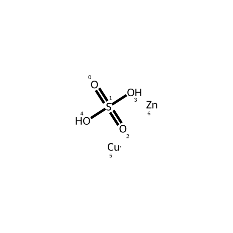 O=S(=O)(O)O.[Cu].[Zn]